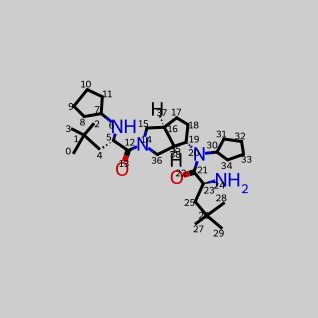 CC(C)(C)C[C@H](NC1CCCC1)C(=O)N1C[C@H]2CC[C@H](N(C(=O)[C@@H](N)CC(C)(C)C)C3CCCC3)[C@H]2C1